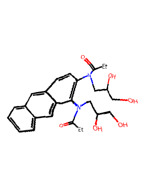 CCC(=O)N(CC(O)CO)c1ccc2cc3ccccc3cc2c1N(CC(O)CO)C(=O)CC